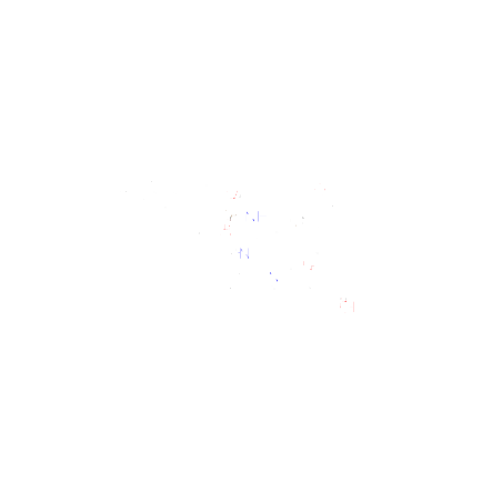 COc1ccccc1Sc1c(NS(=O)(=O)c2ccc(C(C)(C)C)cc2)nc(C)nc1OCCO